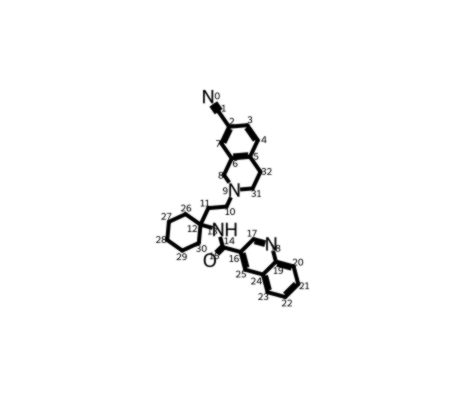 N#Cc1ccc2c(c1)CN(CCC1(NC(=O)c3cnc4ccccc4c3)CCCCC1)CC2